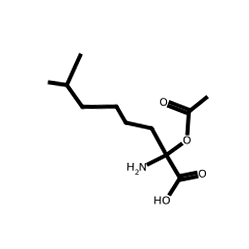 CC(=O)OC(N)(CCCCC(C)C)C(=O)O